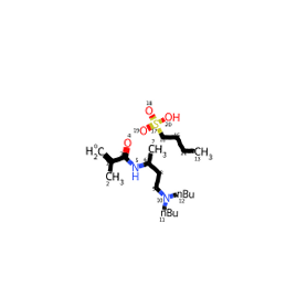 C=C(C)C(=O)NC(C)CCN(CCCC)CCCC.CCCCS(=O)(=O)O